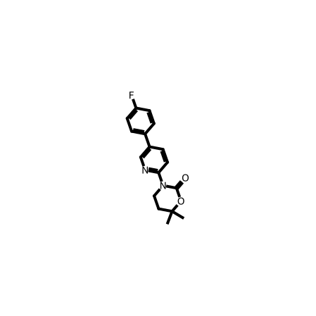 CC1(C)CCN(c2ccc(-c3ccc(F)cc3)cn2)C(=O)O1